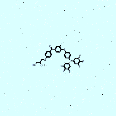 O=C(c1ccc(OCC(O)CO)cc1)c1ccc(Sc2ccc([S+](c3cc(F)c(F)c(F)c3)c3cc(F)c(F)c(F)c3)cc2)c(F)c1